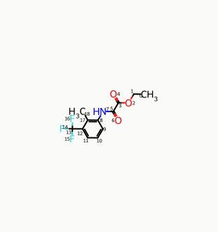 CCOC(=O)C(=O)Nc1cccc(C(F)(F)F)c1C